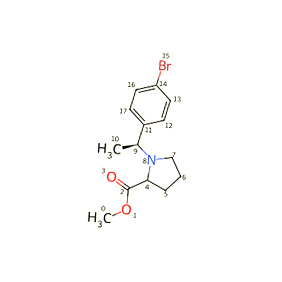 COC(=O)C1CCCN1[C@@H](C)c1ccc(Br)cc1